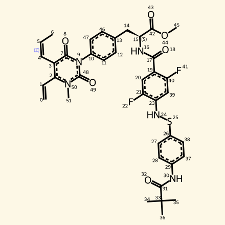 C=Cc1c(/C=C\C)c(=O)n(-c2ccc(C[C@H](NC(=O)c3cc(F)c(NSc4ccc(NC(=O)C(C)(C)C)cc4)cc3F)C(=O)OC)cc2)c(=O)n1C